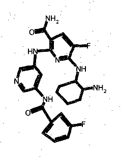 NC(=O)c1cc(F)c(NC2CCCCC2N)nc1Nc1cncc(NC(=O)c2cccc(F)c2)c1